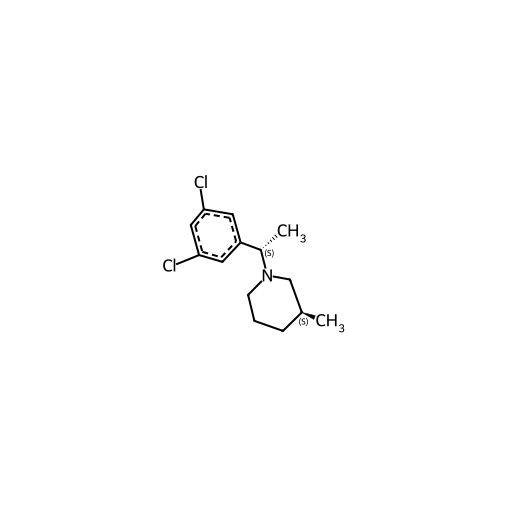 C[C@H]1CCCN([C@@H](C)c2cc(Cl)cc(Cl)c2)C1